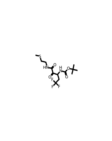 CSCCNC(=O)C(=O)C(CC(F)(F)F)NC(=O)OC(C)(C)C